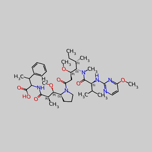 CC[C@H](C)[C@@H]([C@@H](CC(=O)N1CCC[C@H]1[C@H](OC)[C@@H](C)C(=O)NC(C(=O)O)C(C)c1ccccc1)OC)N(C)C(=O)[C@@H](Nc1nccc(OC)n1)C(C)C